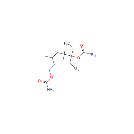 CC(CCOC(N)=O)CC(C)(C)C(CC(F)(F)F)(CC(F)(F)F)OC(N)=O